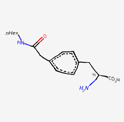 CCCCCCNC(=O)Cc1ccc(C[C@H](N)C(=O)O)cc1